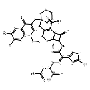 CCn1nc(C[N+]2(CC3=C(C(=O)O)N4C(=O)[C@@H](NC(=O)/C(=N\O[C@@H](CC(=O)O)C(=O)O)c5csc(N)n5)[C@H]4SC3)CCCCC2)c(=O)c2cc(O)c(O)cc21